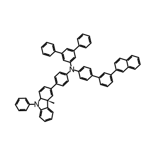 C[C@]12C=C(c3ccc(N(c4ccc(-c5cccc(-c6ccc7ccccc7c6)c5)cc4)c4cc(-c5ccccc5)cc(-c5ccccc5)c4)cc3)C=CC1N(c1ccccc1)c1ccccc12